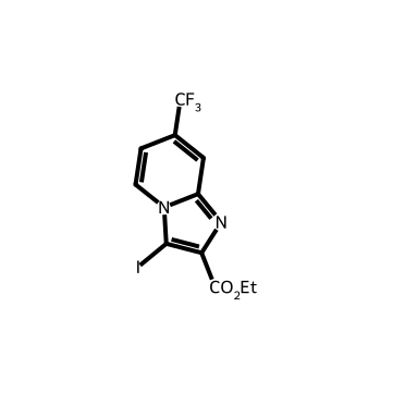 CCOC(=O)c1nc2cc(C(F)(F)F)ccn2c1I